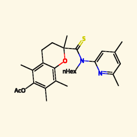 CCCCCCN(C(=S)C1(C)CCc2c(C)c(OC(C)=O)c(C)c(C)c2O1)c1cc(C)cc(C)n1